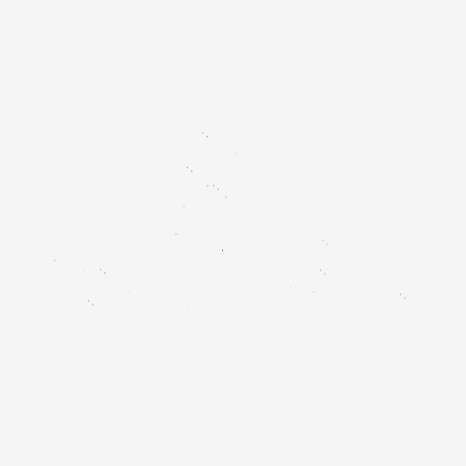 CNS(=O)(=O)c1ccc2nc(-c3cc(OC)c(O)c(OC4OCC4(C)n4c(-c5cc(OC)c(O)c(OC6CC(n7c(-c8cc(OC)c(O)c(O)c8F)nc8ccccc87)C6)c5F)nc5ncccc54)c3F)n(C3(C)COC3)c2c1